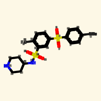 CNc1ccc(S(=O)(=O)c2ccc(C(F)(F)F)c(S(=O)(=O)NC3CCNCC3)c2)cc1